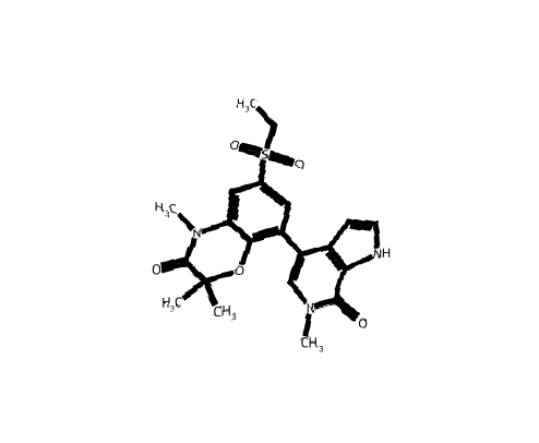 CCS(=O)(=O)c1cc(-c2cn(C)c(=O)c3[nH]ccc23)c2c(c1)N(C)C(=O)C(C)(C)O2